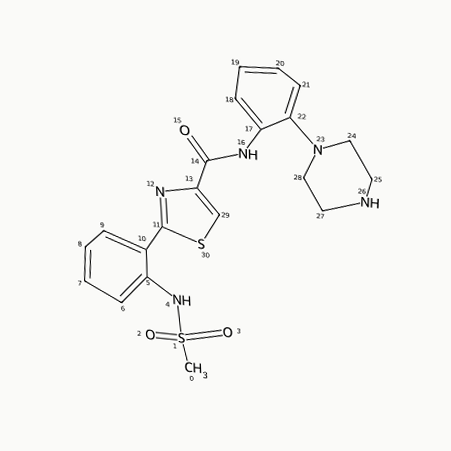 CS(=O)(=O)Nc1ccccc1-c1nc(C(=O)Nc2ccccc2N2CCNCC2)cs1